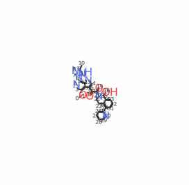 COc1cnc(-n2cnc(C)n2)c2[nH]cc(C(=O)C(=O)N3CCc4c(-c5ccccn5)cccc4C3O)c12